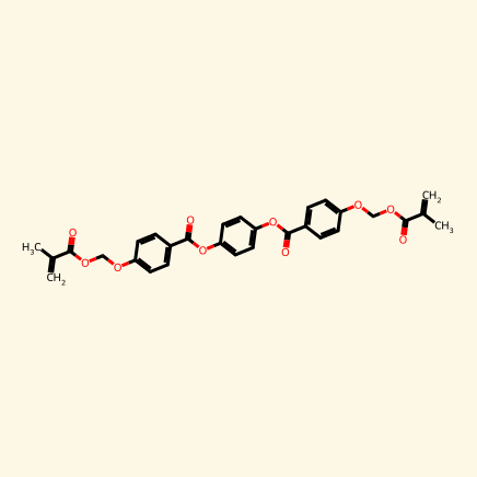 C=C(C)C(=O)OCOc1ccc(C(=O)Oc2ccc(OC(=O)c3ccc(OCOC(=O)C(=C)C)cc3)cc2)cc1